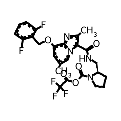 Cc1cc(OCc2c(F)cccc2F)c2nc(C)c(C(=O)NC[C@H]3CCCN3C(=O)OC(=O)C(F)(F)F)n2c1